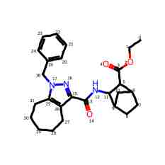 CCOC(=O)C1C2CCC(C2)C1NC(=O)c1nn(Cc2ccccc2)c2c1CCCCC2